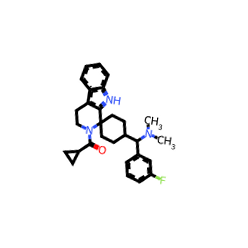 CN(C)C(c1cccc(F)c1)C1CCC2(CC1)c1[nH]c3ccccc3c1CCN2C(=O)C1CC1